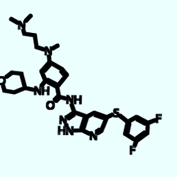 CN(C)CCCN(C)c1ccc(C(=O)Nc2n[nH]c3ncc(Sc4cc(F)cc(F)c4)cc23)c(NC2CCOCC2)c1